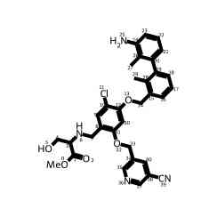 COC(=O)C(CO)NCc1cc(Cl)c(OCc2cccc(-c3cccc(N)c3C)c2C)cc1OCc1cncc(C#N)c1